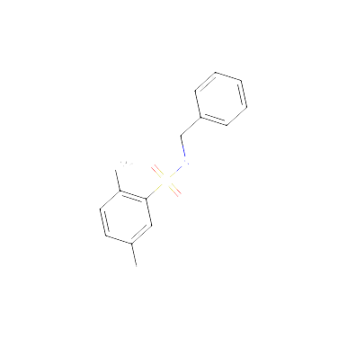 CCc1ccc(OC)c(S(=O)(=O)NCc2ccccc2)c1